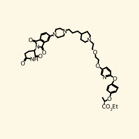 CCOC(=O)[C@@H](C)Oc1ccc(Oc2ccc(OCCOCCN3CCC(CCCN4CCN(c5ccc6c(c5)C(=O)N(C5CCC(=O)NC5=O)C6=O)CC4)CC3)cn2)cc1